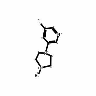 CCN1CCN(c2cncc(F)c2)CC1